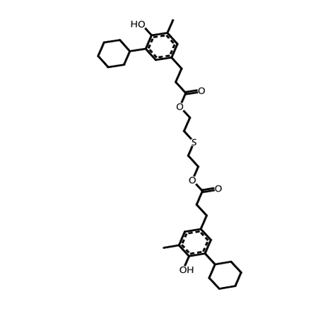 Cc1cc(CCC(=O)OCCSCCOC(=O)CCc2cc(C)c(O)c(C3CCCCC3)c2)cc(C2CCCCC2)c1O